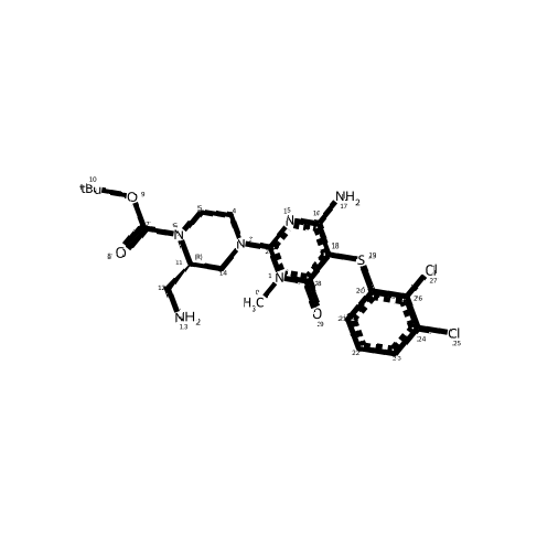 Cn1c(N2CCN(C(=O)OC(C)(C)C)[C@H](CN)C2)nc(N)c(Sc2cccc(Cl)c2Cl)c1=O